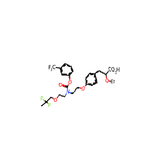 CCOC(Cc1ccc(OCCN(CCOCC(C)(F)F)C(=O)Oc2cccc(C(F)(F)F)c2)cc1)C(=O)O